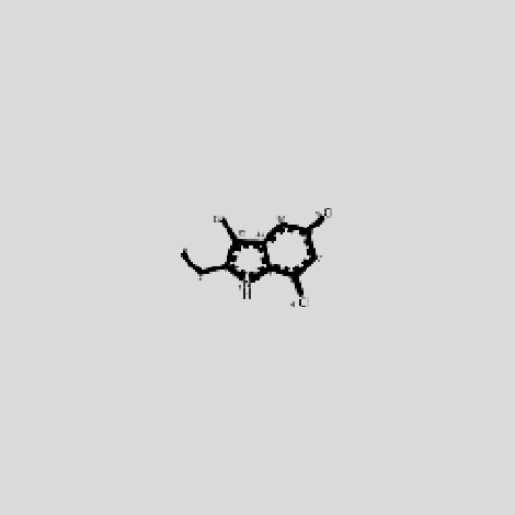 CCc1[nH]c2c(Cl)cc(Cl)cc2c1C